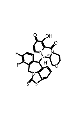 O=C1c2c(O)c(=O)ccn2N(C2c3ccc(F)c(F)c3Cn3c(=S)sc4cccc2c43)[C@@H]2COCCN12